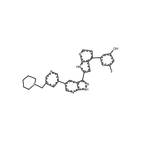 Oc1cc(F)cc(-c2ccnc3[nH]c(-c4n[nH]c5ncc(-c6cncc(CN7CCCCC7)c6)cc45)cc23)c1